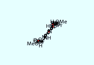 COC(=O)N[C@H](C(=O)N[C@@H]1C[C@@H]1CCc1nc2ccc(-c3ccc4nc(-c5ccc6nc([C@@H]7C[C@H]8C[C@H]8N7C(=O)[C@@H](NC(=O)OC)C(C)C)[nH]c6c5)ccc4c3)cc2[nH]1)C(C)C